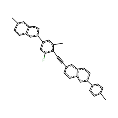 Cc1ccc(-c2ccc3cc(C#Cc4c(C)cc(-c5ccc6cc(C)ccc6c5)cc4F)ccc3c2)cc1